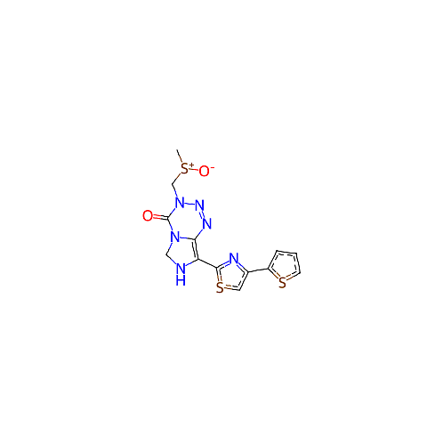 C[S+]([O-])CN1N=NC2=C(c3nc(-c4cccs4)cs3)NCN2C1=O